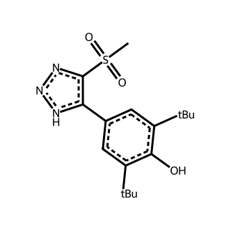 CC(C)(C)c1cc(-c2[nH]nnc2S(C)(=O)=O)cc(C(C)(C)C)c1O